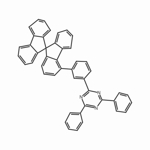 c1ccc(-c2nc(-c3ccccc3)nc(-c3cccc(-c4cccc5c4-c4ccccc4C54c5ccccc5-c5ccccc54)c3)n2)cc1